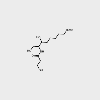 CCCCCCCCCCCCCCCC(O)C(CO)NC(=O)CCO